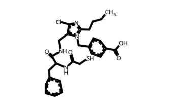 CCCCc1nc(Cl)c(CNC(=O)C(Cc2ccccc2)NC(=O)CS)n1Cc1ccc(C(=O)O)cc1